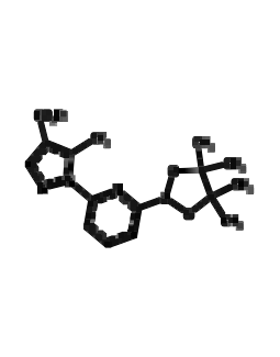 CCOC(=O)c1cnn(-c2cccc(B3OC(C)(C)C(C)(C)O3)n2)c1C(F)(F)F